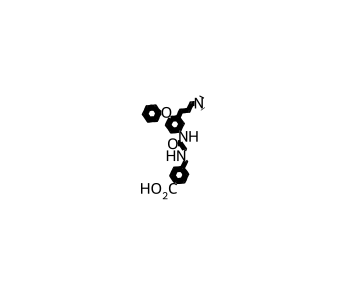 CN(C)CCCc1cc(NC(=O)CNCc2ccc(C(=O)O)cc2)ccc1Oc1ccccc1